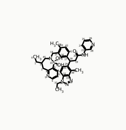 CCC1Cc2ncccc2S(O)(O)N(Cc2cc(C(CC(=O)Nc3cccnc3)c3ccc4c(nnn4CC)c3C)ccc2C)C1